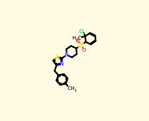 Cc1ccc(Cc2csc(N3CCC(S(=O)(=O)C4C=CC=CC4(C)Cl)CC3)n2)cc1